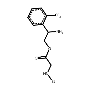 CCNCC(=O)OCC(N)c1ccccc1C(F)(F)F